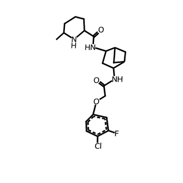 CC1CCCC(C(=O)NC2CC(NC(=O)COc3ccc(Cl)c(F)c3)C3CC2C3)N1